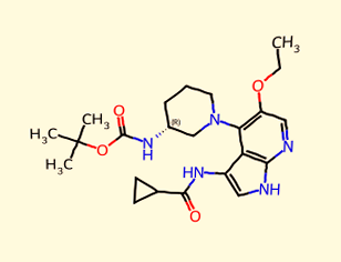 CCOc1cnc2[nH]cc(NC(=O)C3CC3)c2c1N1CCC[C@@H](NC(=O)OC(C)(C)C)C1